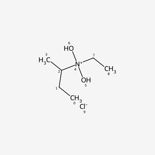 CCC(C)[N+](O)(O)CC.[Cl-]